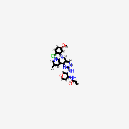 C=CC(=O)NC1CCOCC1Nc1ncc2c(n1)-c1cc(C)cnc1N(c1cc(OC)ccc1Cl)C2